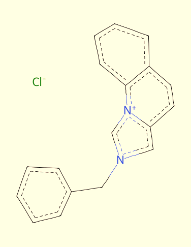 [Cl-].c1ccc(Cn2cc3ccc4ccccc4[n+]3c2)cc1